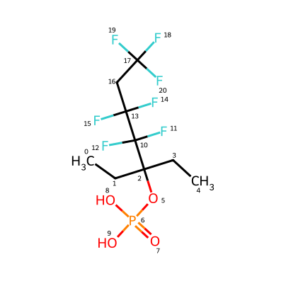 CCC(CC)(OP(=O)(O)O)C(F)(F)C(F)(F)CC(F)(F)F